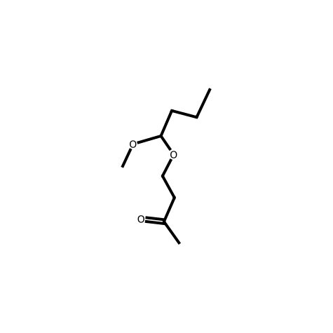 CCCC(OC)OCCC(C)=O